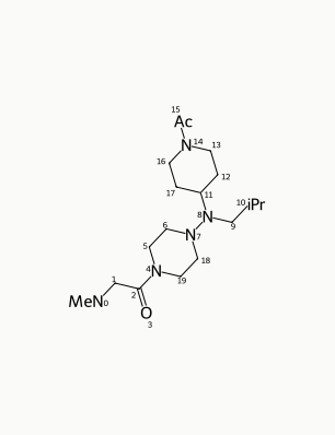 CNCC(=O)N1CCN(N(CC(C)C)C2CCN(C(C)=O)CC2)CC1